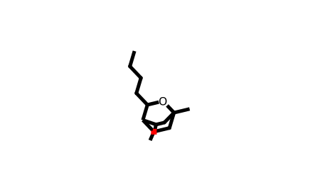 CCCCC1OC2(C)CC(C)C1C(C)C2